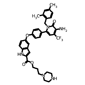 Cc1ccc(Cn2c(-c3ccc(Oc4ccc5[nH]c(C(=O)OCCCN6CCNCC6)cc5c4)cc3)cc(C(F)(F)F)c(N)c2=O)c(C)c1